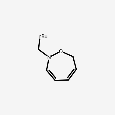 CCCCCN1C=CC=CCO1